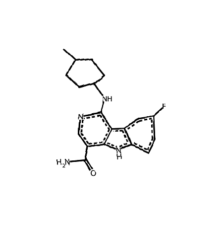 CC1CCC(Nc2ncc(C(N)=O)c3[nH]c4ccc(F)cc4c23)CC1